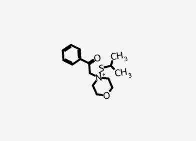 CC(C)S[N+]1(CC(=O)c2ccccc2)CCOCC1